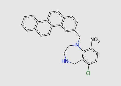 O=[N+]([O-])c1ccc(Cl)c2c1N(Cc1ccc3ccc4c5ccccc5ccc4c3c1)CCNC2